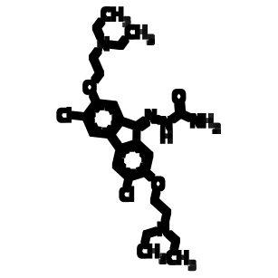 CCN(CC)CCOc1cc2c(cc1Cl)-c1cc(Cl)c(OCCN(CC)CC)cc1C2=NNC(N)=O